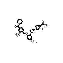 Cc1ccc(OCc2ccc(C(=O)N3CCCCC3)cc2C)c(-c2csc(N3CC4C(C(=O)O)[C@H]4C3)n2)c1